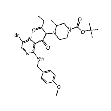 CCC(=O)C(C(=O)c1nc(Br)cnc1NCc1ccc(OC)cc1)N1CCN(C(=O)OC(C)(C)C)CC1C